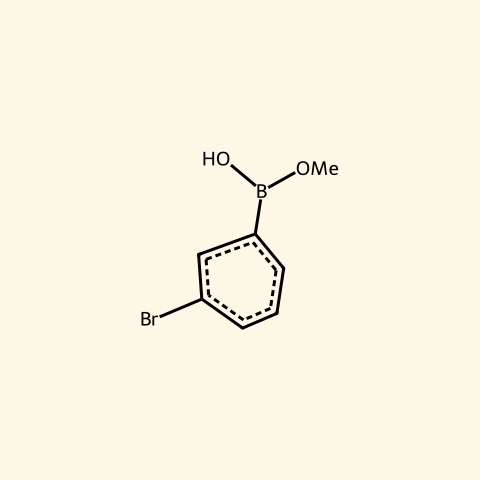 COB(O)c1cccc(Br)c1